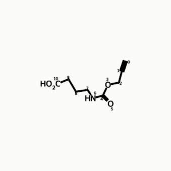 C#CCOC(=O)NCCCC(=O)O